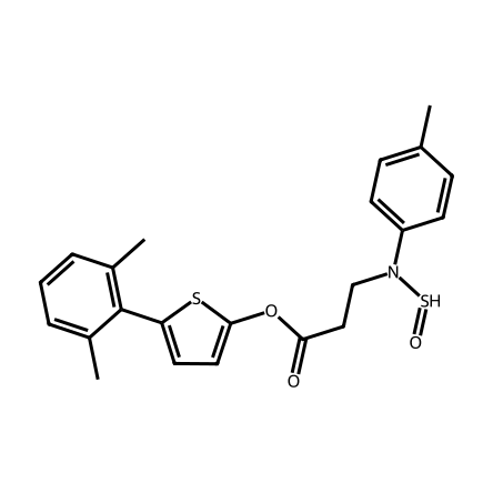 Cc1ccc(N(CCC(=O)Oc2ccc(-c3c(C)cccc3C)s2)[SH]=O)cc1